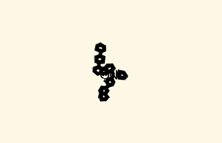 c1ccc(-c2ccc(-c3cccc4oc5c(N(c6ccccc6)c6ccc(-c7ccc8ccccc8c7)cc6)cccc5c34)cc2)cc1